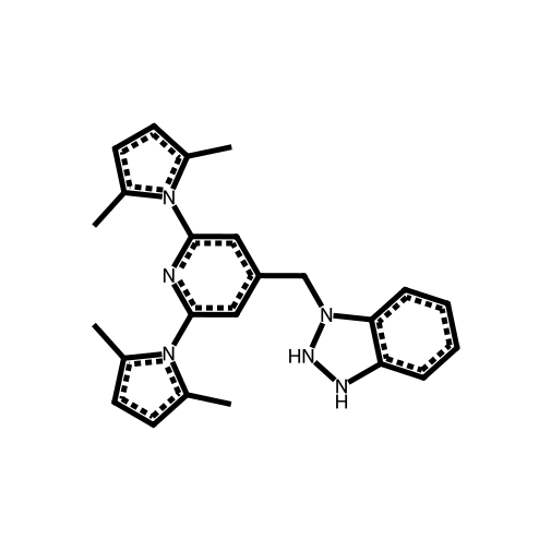 Cc1ccc(C)n1-c1cc(CN2NNc3ccccc32)cc(-n2c(C)ccc2C)n1